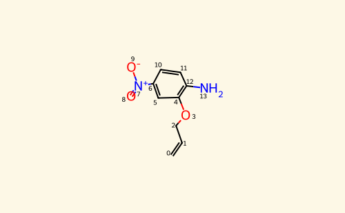 C=CCOc1cc([N+](=O)[O-])ccc1N